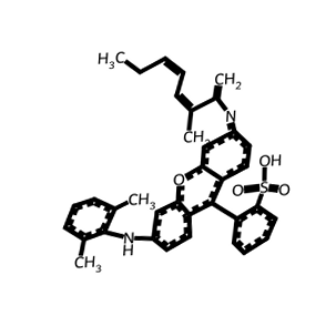 C=C(/N=c1/ccc2c(-c3ccccc3S(=O)(=O)O)c3ccc(Nc4c(C)cccc4C)cc3oc-2c1)/C(C)=C\C=C/CC